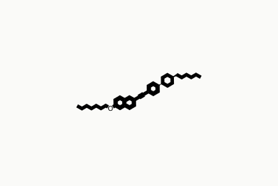 CCCCCCCOc1ccc2cc(C#Cc3ccc([C@H]4CC[C@H](CCCCCC)CC4)cc3)ccc2c1